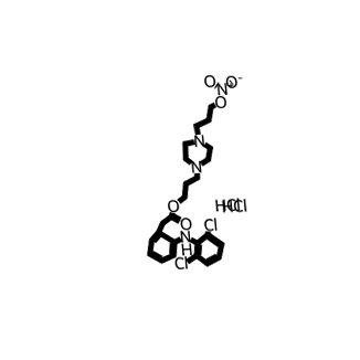 Cl.Cl.O=C(Cc1ccccc1Nc1c(Cl)cccc1Cl)OCCCN1CCN(CCCO[N+](=O)[O-])CC1